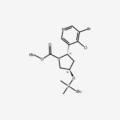 CC(C)(C)OC(=O)N1C[C@H](O[Si](C)(C)C(C)(C)C)C[C@H]1c1cncc(Br)c1Cl